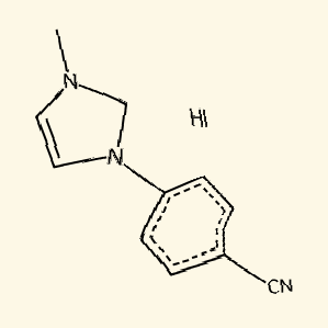 CN1C=CN(c2ccc(C#N)cc2)C1.I